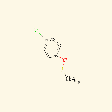 CSOc1ccc(Cl)cc1